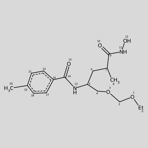 CCOCOCC(CC(C)C(=O)NO)NC(=O)c1ccc(C)cc1